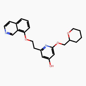 Oc1cc(CCOc2cccc3ccncc23)nc(OCC2CCCCO2)c1